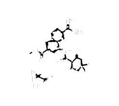 COC(=O)c1cc(NC(=O)C2C(=O)CC(C)(C)CC2=O)c2cc(C(=N)N)ccc2c1.O=C(O)C(F)(F)F